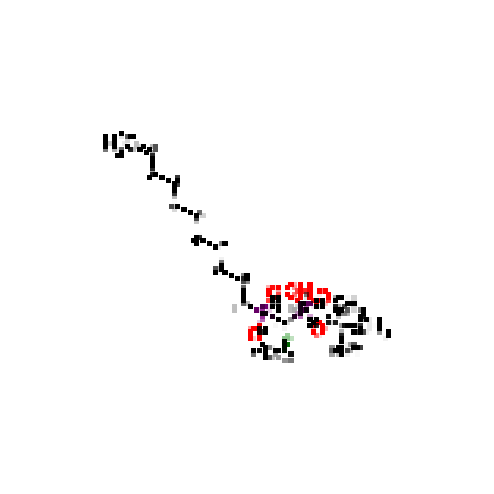 C=CCCCCCCCCCP(=O)(OCC)C(F)P(=O)(O)OC(C)(C)C(C)C